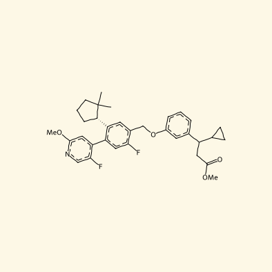 COC(=O)CC(c1cccc(OCc2cc([C@@H]3CCCC3(C)C)c(-c3cc(OC)ncc3F)cc2F)c1)C1CC1